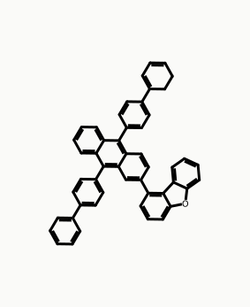 C1=CCCC(c2ccc(-c3c4ccccc4c(-c4ccc(-c5ccccc5)cc4)c4cc(-c5cccc6oc7ccccc7c56)ccc34)cc2)=C1